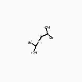 OC(Br)CCC(O)Br